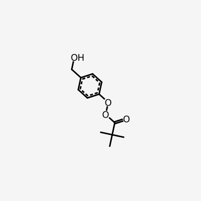 CC(C)(C)C(=O)OOc1ccc(CO)cc1